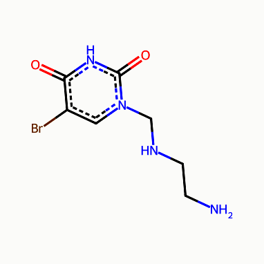 NCCNCn1cc(Br)c(=O)[nH]c1=O